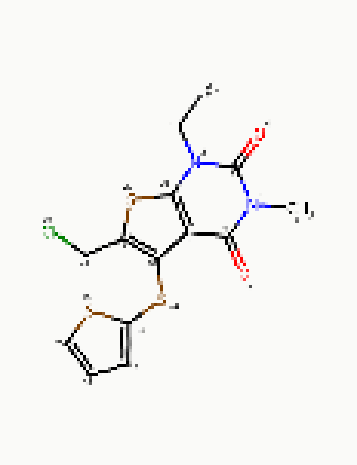 CC(C)Cn1c(=O)n(C)c(=O)c2c(Sc3cccs3)c(CCl)sc21